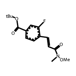 CON(C)C(=O)/C=C/c1ccc(C(=O)OC(C)(C)C)cc1F